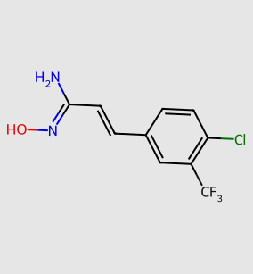 NC(C=Cc1ccc(Cl)c(C(F)(F)F)c1)=NO